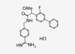 COC(C(=O)NCc1ccc(C(=N)N)cc1)c1ccc(-c2ccccc2)cc1F.Cl